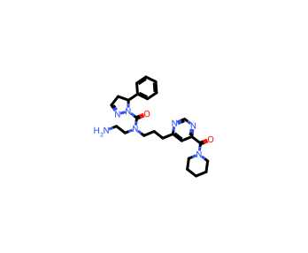 NCCN(CCCc1cc(C(=O)N2CCCCC2)ncn1)C(=O)N1N=CCC1c1ccccc1